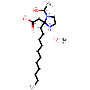 CCCCCCCCCCCC1(CC(=O)O)NCCN1C(C)O.O.[Na]